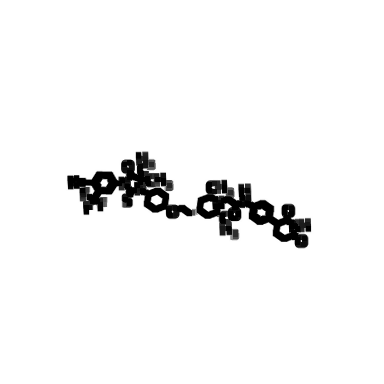 C[C@@H]1C[C@H](CCO[C@H]2CC[C@H](N3C(=S)N(c4ccc(C#N)c(C(F)(F)F)c4)C(=O)C3(C)C)CC2)C[C@H](C)N1CC(=O)Nc1ccc(C2CCC(=O)NC2=O)cc1